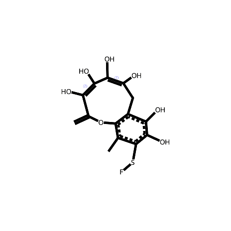 C=C1Oc2c(C)c(SF)c(O)c(O)c2C/C(O)=C(O)\C(O)=C/1O